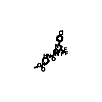 CCOC(=O)N1CCC(NC(=O)c2cc3nc(-c4ccc(Cl)cc4)cc(C(F)(F)F)n3n2)CC1